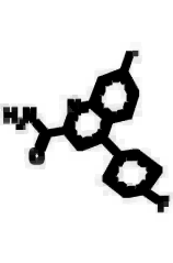 [CH2]c1ccc2c(-c3ccc(F)cc3)cc(C(N)=O)nc2c1